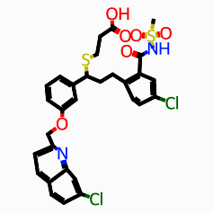 CS(=O)(=O)NC(=O)c1cc(Cl)ccc1CCC(SCCC(=O)O)c1cccc(OCc2ccc3ccc(Cl)cc3n2)c1